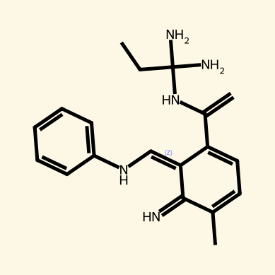 C=C(NC(N)(N)CC)C1=CC=C(C)C(=N)/C1=C\Nc1ccccc1